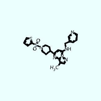 Cc1cnn2c(NCc3cccnc3)cc(C3CCN(S(=O)(=O)c4cccs4)CC3)nc12